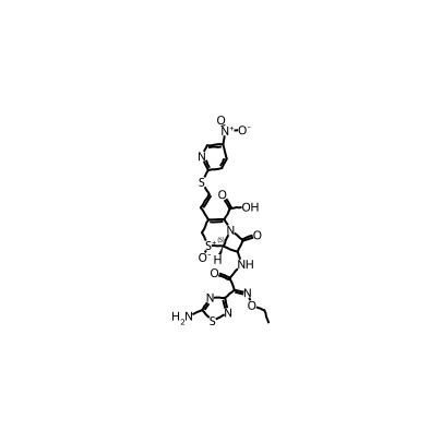 CCON=C(C(=O)NC1C(=O)N2C(C(=O)O)=C(C=CSc3ccc([N+](=O)[O-])cn3)C[S+]([O-])[C@@H]12)c1nsc(N)n1